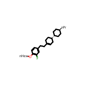 CCCCCCOc1ccc(CCC2=CCC([C@H]3CC[C@H](CCC)CC3)CC2)cc1F